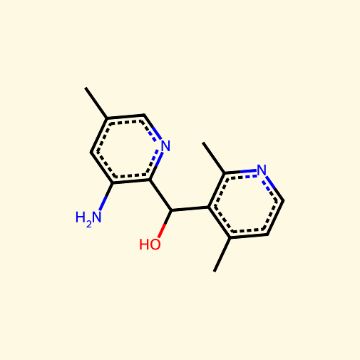 Cc1cnc(C(O)c2c(C)ccnc2C)c(N)c1